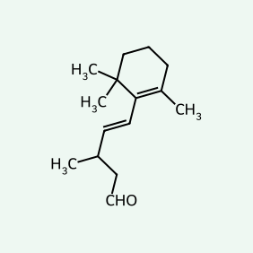 CC1=C(C=CC(C)CC=O)C(C)(C)CCC1